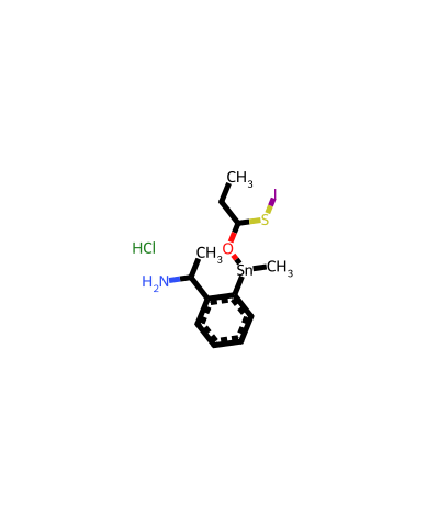 CCC([O][Sn]([CH3])[c]1ccccc1C(C)N)SI.Cl